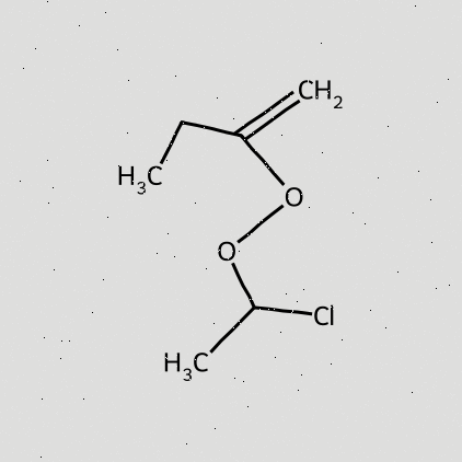 C=C(CC)OOC(C)Cl